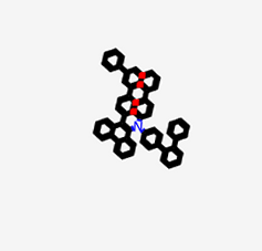 c1ccc(-c2ccc(N(c3ccc(-c4ccccc4-c4ccccc4)cc3)c3c(-c4ccc(-c5cccc(-c6ccccc6)c5)cc4)c4ccccc4c4ccccc34)cc2)cc1